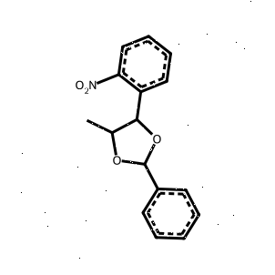 CC1OC(c2ccccc2)OC1c1ccccc1[N+](=O)[O-]